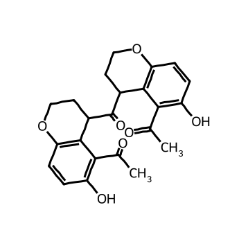 CC(=O)c1c(O)ccc2c1C(C(=O)C1CCOc3ccc(O)c(C(C)=O)c31)CCO2